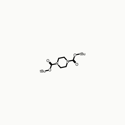 CC(C)(C)OC(=O)N1CCN(C(=O)OC(C)(C)C)CC1